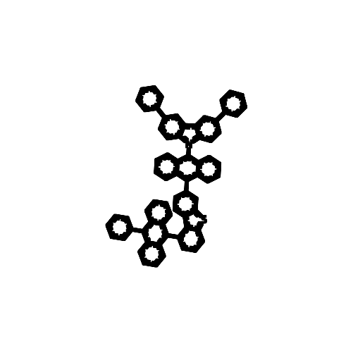 c1ccc(-c2ccc3c(c2)c2cc(-c4ccccc4)ccc2n3-c2c3ccccc3c(-c3ccc4c(c3)sc3cccc(-c5c6ccccc6c(-c6ccccc6)c6ccccc56)c34)c3ccccc23)cc1